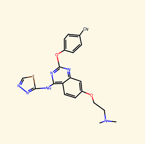 CN(C)CCOc1ccc2c(Nc3nncs3)nc(Oc3ccc(C#N)cc3)nc2c1